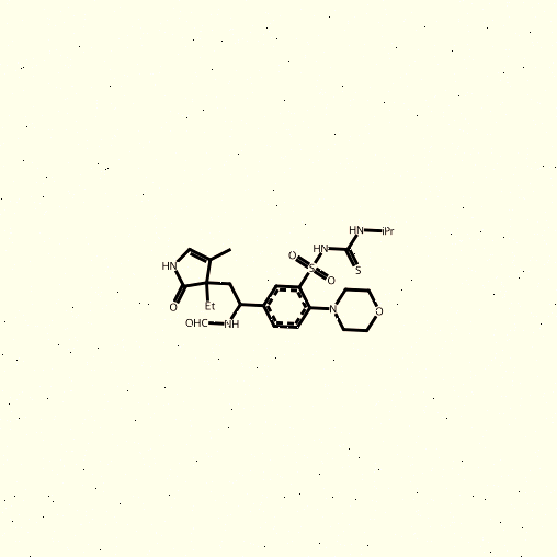 CCC1(CC(NC=O)c2ccc(N3CCOCC3)c(S(=O)(=O)NC(=S)NC(C)C)c2)C(=O)NC=C1C